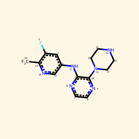 Fc1cc(Nc2nccnc2N2CCNCC2)cnc1C(F)(F)F